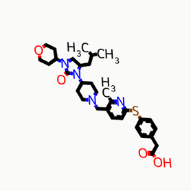 Cc1nc(Sc2ccc(CC(=O)O)cc2)ccc1CN1CCC(N2C(=O)N(C3CCOCC3)CC2CC(C)C)CC1